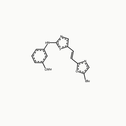 COc1cccc(Nc2ncc(C=Cc3ncc(C(C)(C)C)o3)s2)c1